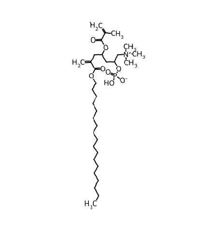 C=C(C)C(=O)OC(CC(=C)C(=O)OCCCCCCCCCCCCCCCCCC)CC(C[N+](C)(C)C)OP(=O)([O-])O